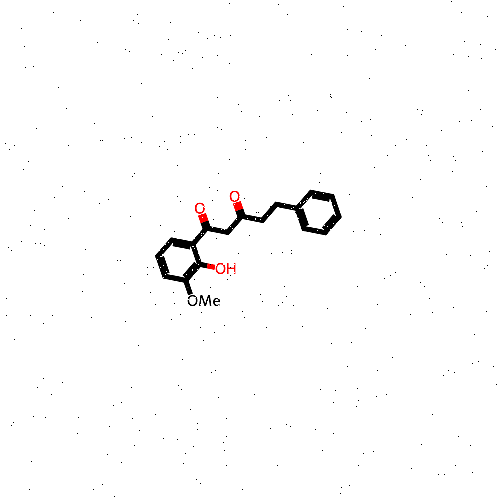 COc1cccc(C(=O)CC(=O)CCc2ccccc2)c1O